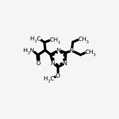 CCN(CC)c1nc(OC)nc(C(C(N)=O)C(C)C)n1